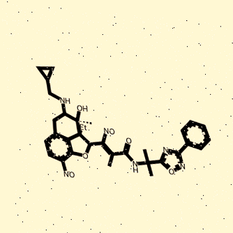 CCC12c3c(ccc(N=O)c3OC1/C(N=O)=C(\C)C(=O)NC(C)(C)c1nc(-c3ccccc3)no1)CC(NCC1CC1)[C@@]2(C)O